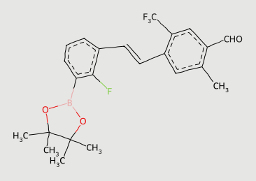 Cc1cc(/C=C/c2cccc(B3OC(C)(C)C(C)(C)O3)c2F)c(C(F)(F)F)cc1C=O